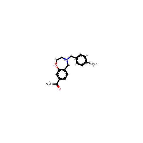 COC(=O)c1ccc2c(c1)OCCN(Cc1ccc(OC)cc1)C2